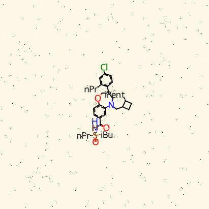 CCCc1cc(Cl)ccc1[C@]1(C)COc2ccc(C(=O)N[SH](=O)(CCC)[C@H](C)CC)cc2N(CC2CCC2C(C)CCC)C1